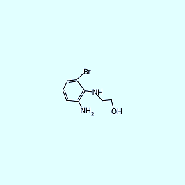 Nc1cccc(Br)c1NCCO